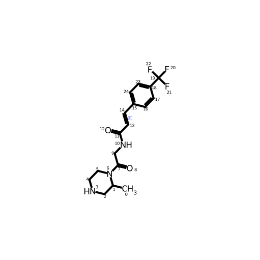 CC1CNCCN1C(=O)CNC(=O)/C=C/c1ccc(C(F)(F)F)cc1